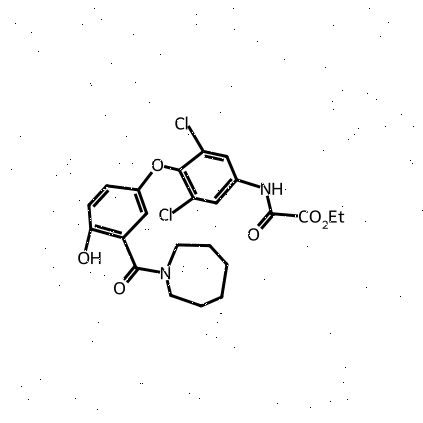 CCOC(=O)C(=O)Nc1cc(Cl)c(Oc2ccc(O)c(C(=O)N3CCCCCC3)c2)c(Cl)c1